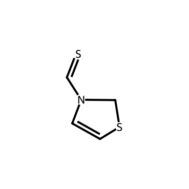 S=CN1C=CSC1